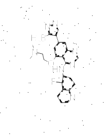 Bc1c(-c2cc(O[C@H](C)CN(C)C)c3c(Nc4ccc5ncccc5c4F)ncnc3c2)cnn1C